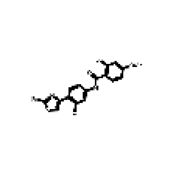 CCc1cc(OC)ccc1C(=O)Nc1ccc(-c2csc(C(C)C)n2)c(Cl)c1